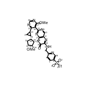 CCS(=O)(=O)c1ccc(CNc2nc3cnc(-c4c(OC)ncnc4C4CC4)nc3n([C@H]3CCC[C@@H]3OC)c2=O)nc1